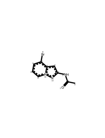 CC(=O)Nc1cc2c(Br)cccn2n1